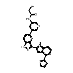 CC(C)CC(=O)Nc1cncc(-c2ccc3[nH]nc(-c4cc5c(-c6cccs6)nccc5[nH]4)c3n2)c1